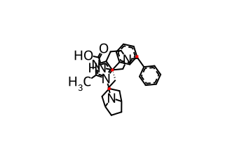 Cc1nc2c(n1C1CC3CCC(C1)N3CC[C@H](NC(=O)O)c1ccccc1)CN(Cc1ccccc1)CC2